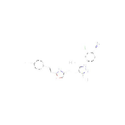 Cc1nn(-c2ccc(C#N)c(Cl)c2)c(C)c1OCc1coc(C=Cc2ccc(Cl)cc2)n1